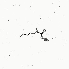 CN(CCCCI)C(=O)OC(C)(C)C